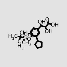 CC(C)(C)[Si](C)(C)Oc1ccc(C(O)C(O)C(=O)O)cc1C1CCCC1